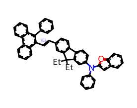 CCC1(CC)c2cc(/C=C/c3c(-c4ccccc4)c4ccccc4c4ccccc34)ccc2-c2ccc(N(c3ccccc3)c3cc4ccccc4o3)cc21